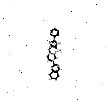 Cc1[nH]c(-c2ccccc2)nc1CN1CCN(c2ncc3c(n2)CCCC3)CC1